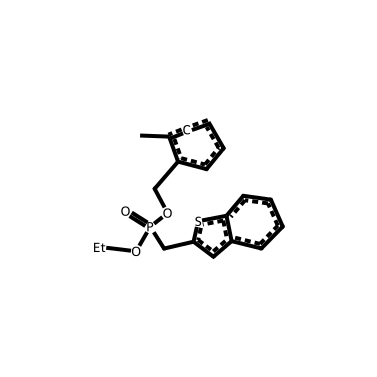 CCOP(=O)(Cc1cc2ccccc2s1)OCc1ccccc1C